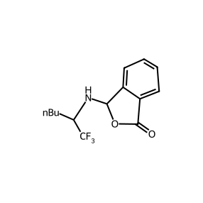 CCCCC(NC1OC(=O)c2ccccc21)C(F)(F)F